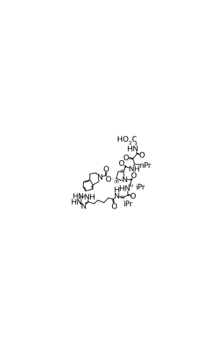 CCCC(NC(=O)[C@@H]1C[C@@H](OC(=O)N2CCc3ccccc3C2)CN1C(=O)[C@@H](NC(=O)[C@@H](NC(=O)CCCCC1=NNNN1)C(C)C)C(C)C)C(=O)C(=O)NCC(=O)O